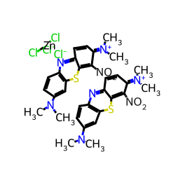 CN(C)c1ccc2nc3ccc(=[N+](C)C)c([N+](=O)[O-])c-3sc2c1.CN(C)c1ccc2nc3ccc(=[N+](C)C)c([N+](=O)[O-])c-3sc2c1.[Cl-].[Cl-].[Cl][Zn][Cl]